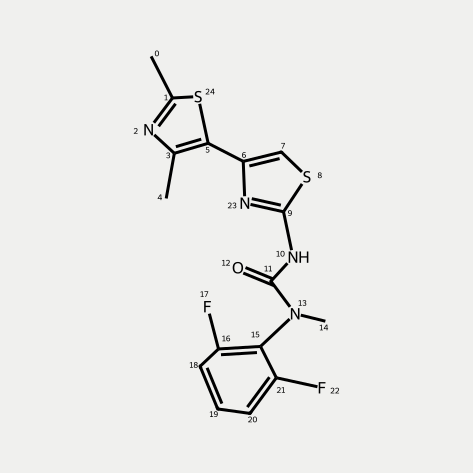 Cc1nc(C)c(-c2csc(NC(=O)N(C)c3c(F)cccc3F)n2)s1